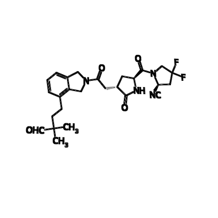 CC(C)(C=O)CCc1cccc2c1CN(C(=O)C[C@@H]1C[C@@H](C(=O)N3CC(F)(F)C[C@H]3C#N)NC1=O)C2